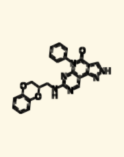 O=c1c2c[nH]nc2c2cnc(NCC3COc4ccccc4O3)nc2n1-c1ccccc1